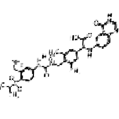 Cc1cc(C(Nc2ccc3nc[nH]c(=O)c3c2)C(=O)O)cc(C)c1CN(C)C(=O)Nc1ccc(S(=O)(=O)C(C)C)c(CN)c1